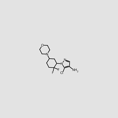 Nc1cnn(C2CC(N3CCOCC3)CCC2(F)F)c1Cl